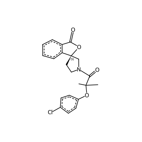 CC(C)(Oc1ccc(Cl)cc1)C(=O)N1CC[C@]2(C1)OC(=O)c1ccccc12